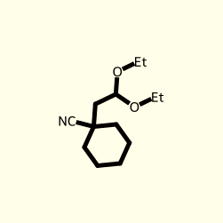 CCOC(CC1(C#N)CCCCC1)OCC